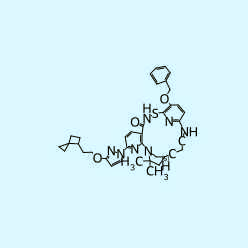 CC1(C)C[C@@H]2CCCNc3ccc(OCc4ccccc4)c(n3)SNC(=O)c3ccc(-n4ccc(OCCC5CCC56CC6)n4)nc3N1C2